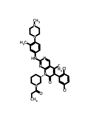 CCC(=O)N1CCC[C@H](n2c(=O)c(-c3cc(Cl)ccc3Cl)c(C)c3cnc(Nc4ccc(N5CCN(C)CC5)c(C)c4)nc32)C1